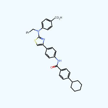 CC(C)CN(c1ccc(C(=O)O)cc1)c1nc(-c2ccc(NC(=O)c3ccc(C4CCCCC4)cc3)cc2)cs1